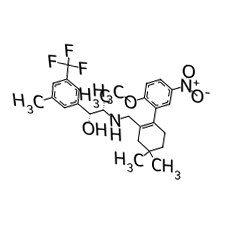 COc1ccc([N+](=O)[O-])cc1C1=C(CN[C@@H](C)[C@H](O)c2cc(C)cc(C(F)(F)F)c2)CC(C)(C)CC1